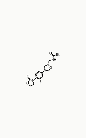 CCC(=O)NC[C@H]1CN(c2ccc(N3CCOC3=O)c(F)c2)CO1